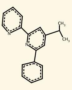 CC(C)c1cc(-c2ccccc2)nc(-c2ccccn2)c1